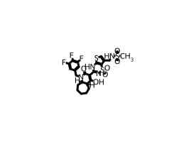 CS(=O)(=O)NCc1csc2c1S(=O)(=O)N=C(C1=C(O)[C@@H]3CCCCC[C@@H]3N(Cc3cc(F)c(F)c(F)c3)C1=O)N2